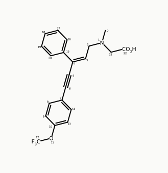 CN(CC=C(C#Cc1ccc(OC(F)(F)F)cc1)c1ccccc1)CC(=O)O